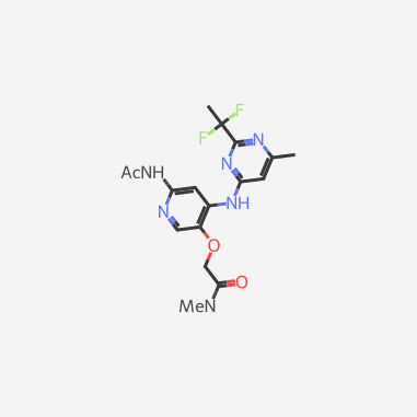 CNC(=O)COc1cnc(NC(C)=O)cc1Nc1cc(C)nc(C(C)(F)F)n1